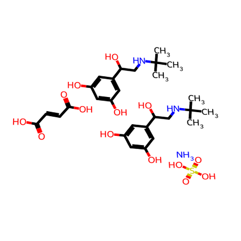 CC(C)(C)NCC(O)c1cc(O)cc(O)c1.CC(C)(C)NCC(O)c1cc(O)cc(O)c1.N.O=C(O)/C=C/C(=O)O.O=S(=O)(O)O